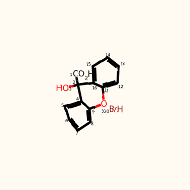 Br.O=C(O)C1(O)c2ccccc2Oc2ccccc21